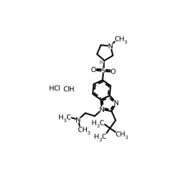 CN(C)CCn1c(CC(C)(C)C)nc2cc(S(=O)(=O)[C@H]3CCN(C)C3)ccc21.Cl.Cl